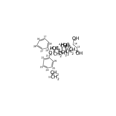 C=C.C=C.C=C.C=C.C=C.C=C.OCCO.c1ccc(Oc2ccccc2)cc1